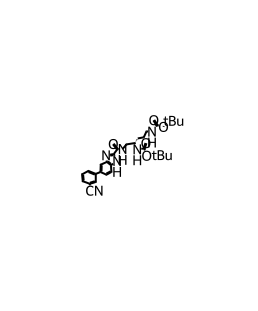 CC(C)(C)OC(=O)NCCC[C@@H](CNC(=O)c1nc2cc(-c3cccc(C#N)c3)ccc2[nH]1)NC(=O)OC(C)(C)C